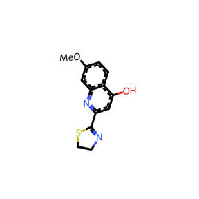 COc1ccc2c(O)cc(C3=NCCS3)nc2c1